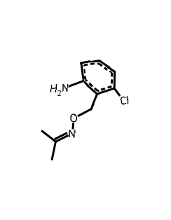 CC(C)=NOCc1c(N)cccc1Cl